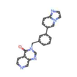 O=c1c2ccncc2ncn1Cc1cccc(-c2ccc3nccn3c2)c1